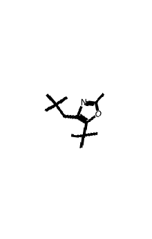 Cc1nc(CC(C)(C)C)c(C(C)(C)C)o1